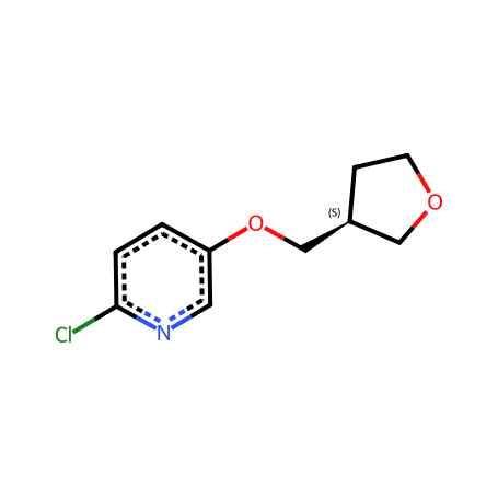 Clc1ccc(OC[C@H]2CCOC2)cn1